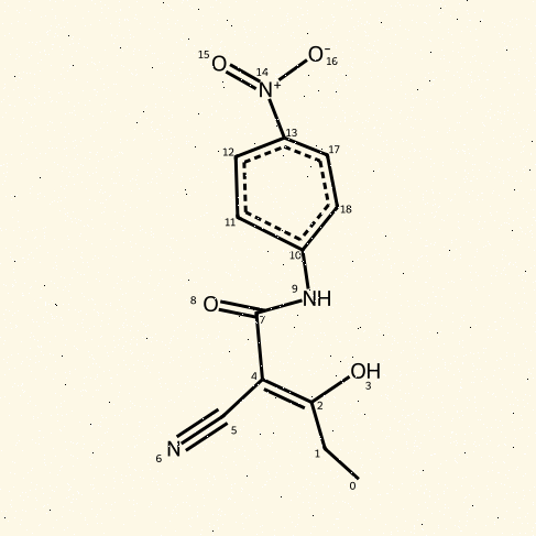 CCC(O)=C(C#N)C(=O)Nc1ccc([N+](=O)[O-])cc1